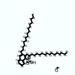 C=O.CCCCCCCCCCCCCCCCCc1cc2ccccc2c(S(=O)(=O)O)c1CCCCCCCCCCCCCCCCC